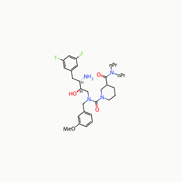 CCCN(CCC)C(=O)C1CCCN(C(=O)N(Cc2cccc(OC)c2)C[C@@H](O)[C@@H](N)Cc2cc(F)cc(F)c2)C1